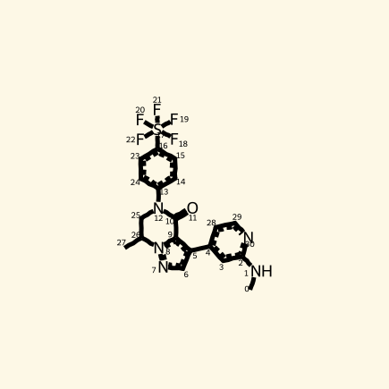 CNc1cc(-c2cnn3c2C(=O)N(c2ccc(S(F)(F)(F)(F)F)cc2)CC3C)ccn1